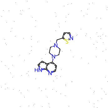 c1cc(CN2CCN(c3ccnc4[nH]ccc34)CC2)sn1